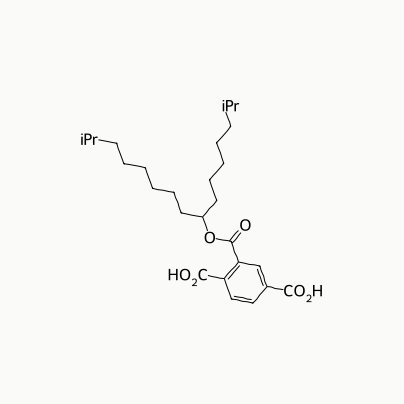 CC(C)CCCCCCC(CCCCCC(C)C)OC(=O)c1cc(C(=O)O)ccc1C(=O)O